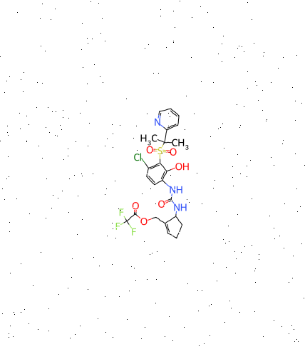 CC(C)(c1ccccn1)S(=O)(=O)c1c(Cl)ccc(NC(=O)NC2CCC=C2COC(=O)C(F)(F)F)c1O